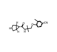 Cc1cc(C#N)ccc1OCC(C)(C)NC(=O)[C@H]1[C@@H]2CNC[C@@H]21